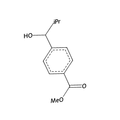 COC(=O)c1ccc(C(O)C(C)C)cc1